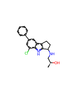 C[C@H](O)CNC1CCc2c1[nH]c1c(Cl)cc(-c3ccccc3)cc21